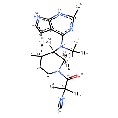 [2H]c1nc(N(C([2H])([2H])[2H])[C@@]2([2H])C([2H])([2H])N(C(=O)C([2H])([2H])[N+]#[C-])CC[C@@]2([2H])C)c2cc[nH]c2n1